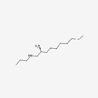 CCCCCCCC[C@H](N)CNCCC